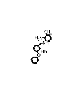 Br.Cc1cccc(NCc2cccc(Oc3ccccc3)c2)c1C